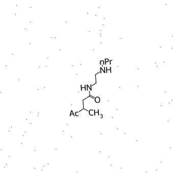 CCCNCCNC(=O)CC(C)C(C)=O